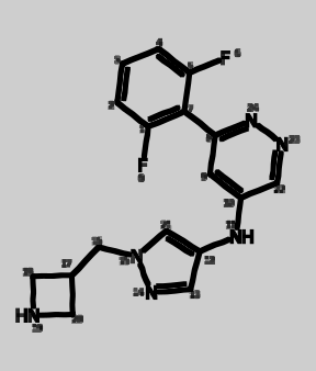 Fc1cccc(F)c1-c1cc(Nc2cnn(CC3CNC3)c2)cnn1